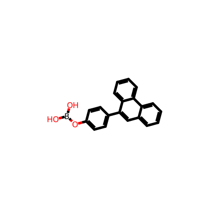 OB(O)Oc1ccc(-c2cc3ccccc3c3ccccc23)cc1